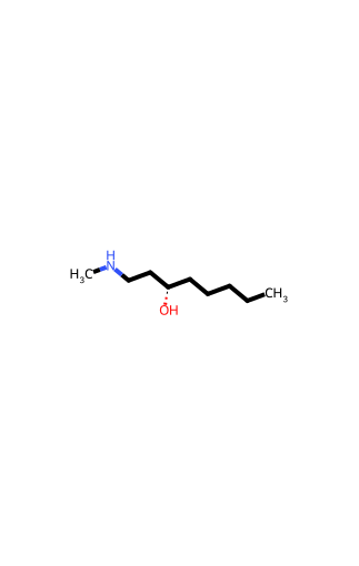 CCCCC[C@H](O)CCNC